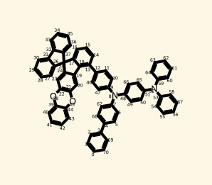 c1ccc(-c2ccc(N(c3ccc(-c4cccc5c4-c4cc6c(cc4C54c5ccccc5-c5ccccc54)Oc4ccccc4O6)cc3)c3ccc(N(c4ccccc4)c4ccccc4)cc3)cc2)cc1